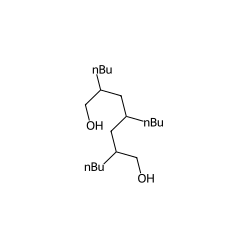 CCCCC(CO)CC(CCCC)CC(CO)CCCC